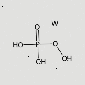 O=P(O)(O)OO.[W]